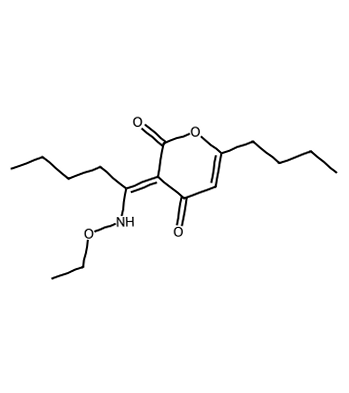 CCCCC1=CC(=O)C(=C(CCCC)NOCC)C(=O)O1